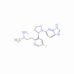 CC(N)CCc1ncc(F)cc1[C@H]1CCCN1c1ccc2nc[nH]c2n1